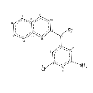 Nc1nc(Cl)cc(C(S)c2ccc3ccccc3c2)n1